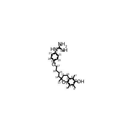 Cc1c(C)c2c(c(C)c1O)CCC(C)(CCCCOc1ccc(NC(=N)N)cc1)O2